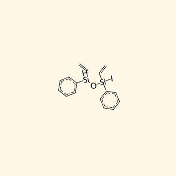 C=C[SiH](O[Si](I)(C=C)c1ccccc1)c1ccccc1